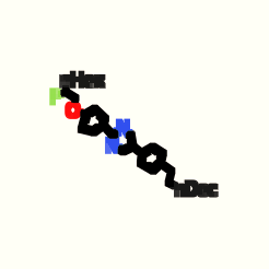 CCCCCCCCCCCCc1ccc(-c2cnc(-c3ccc(OCC(F)CCCCCC)cc3)nc2)cc1